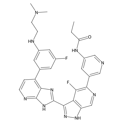 CCC(=O)Nc1cncc(-c2ncc3[nH]nc(-c4nc5c(-c6cc(F)cc(NCCN(C)C)c6)ccnc5[nH]4)c3c2F)c1